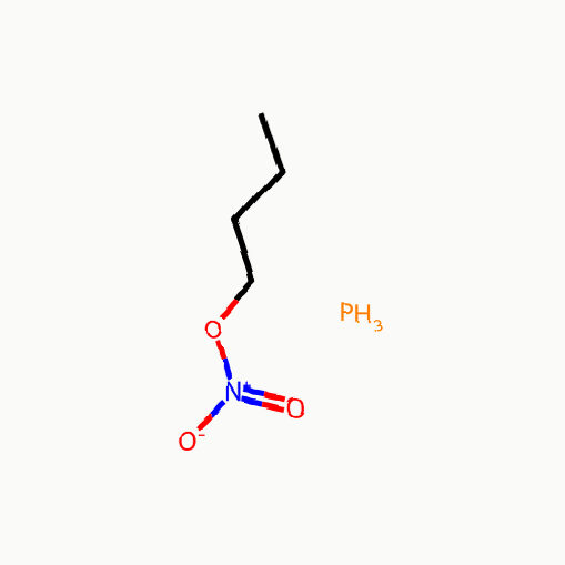 CCCCO[N+](=O)[O-].P